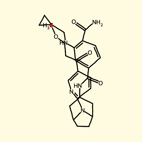 COCCC(=O)c1ccc(N2C3CCC2CC(NC(=O)c2ccc(C(N)=O)c(NCC4CC4)c2)C3)nc1